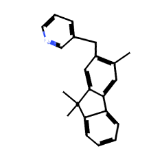 Cc1cc2c(cc1Cc1cccnc1)C(C)(C)c1ccccc1-2